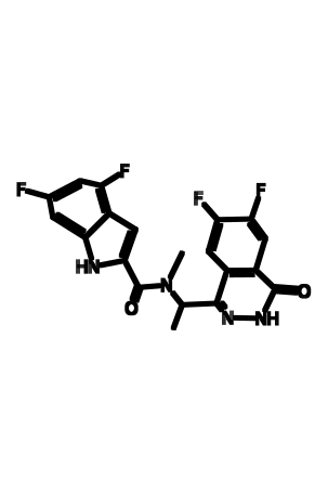 CC(c1n[nH]c(=O)c2cc(F)c(F)cc12)N(C)C(=O)c1cc2c(F)cc(F)cc2[nH]1